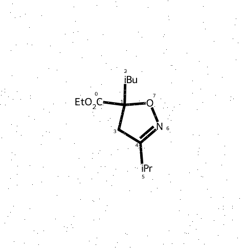 CCOC(=O)C1(C(C)CC)CC(C(C)C)=NO1